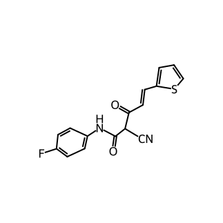 N#CC(C(=O)C=Cc1cccs1)C(=O)Nc1ccc(F)cc1